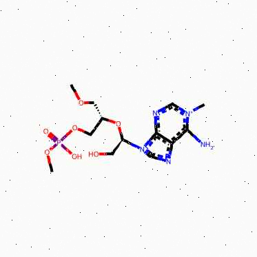 COC[C@@H](COP(=O)(O)OC)O[C@H](CO)n1cnc2c(N)[n+](C)cnc21